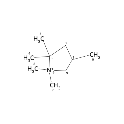 CC1CC(C)(C)[N+](C)(C)C1